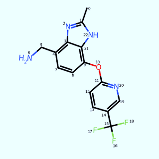 Cc1nc2c(CN)ccc(Oc3ccc(C(F)(F)F)cn3)c2[nH]1